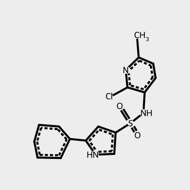 Cc1ccc(NS(=O)(=O)c2c[nH]c(-c3ccccc3)c2)c(Cl)n1